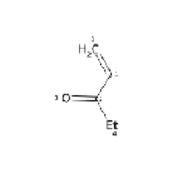 C=[C]C(=O)CC